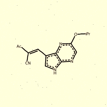 CC(=O)C(C#N)=Cc1c[nH]c2ncc(OC(C)C)nc12